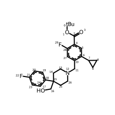 CC(C)(C)OC(=O)c1cc(C2CC2)c(CN2CCC(CO)(c3ccc(F)cc3)CC2)cc1F